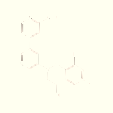 CC(=O)Nc1cc(-c2cncc(N(CCO)Sc3ccc(F)cc3F)c2)ccn1